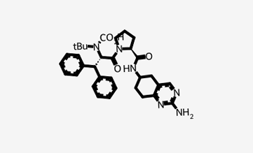 CC(C)(C)N(C(=O)O)[C@H](C(=O)N1CCC[C@H]1C(=O)NC1CCc2nc(N)ncc2C1)C(c1ccccc1)c1ccccc1